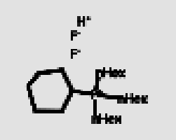 CCCCCC[P+](CCCCCC)(CCCCCC)C1CCCCC1.[F-].[F-].[H+]